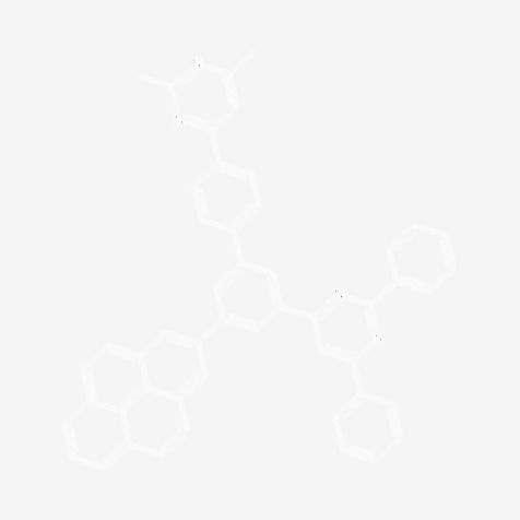 Cc1cc(-c2ccc(-c3cc(-c4cc5ccc6cccc7ccc(c4)c5c67)cc(-c4cc(-c5ccccc5)nc(-c5ccccc5)n4)c3)cc2)nc(C)n1